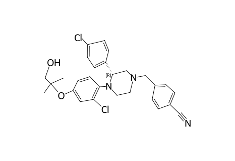 CC(C)(CO)Oc1ccc(N2CCN(Cc3ccc(C#N)cc3)C[C@H]2c2ccc(Cl)cc2)c(Cl)c1